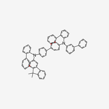 CC1(C)c2ccccc2-c2cc(N(c3ccc(-c4ccc(N(c5cccc(-c6ccccc6)c5)c5ccccc5-c5ccccc5)cc4)cc3)c3ccccc3-c3ccccc3)ccc21